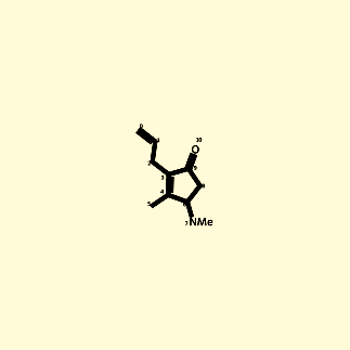 C=CCC1=C(C)C(NC)CC1=O